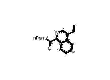 C=Cc1cnc(C(=O)CCCCC)c2ccccc12